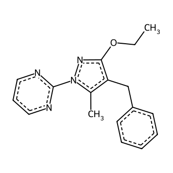 CCOc1nn(-c2ncccn2)c(C)c1Cc1ccccc1